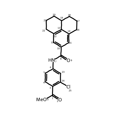 COC(=O)c1ccc(NC(=O)c2cc3c4c(c2)CCCC4CCC3)cc1Cl